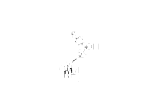 CC(C#Cc1ccc(C(O)c2ccc(F)cc2)s1)N(O)C(N)=O